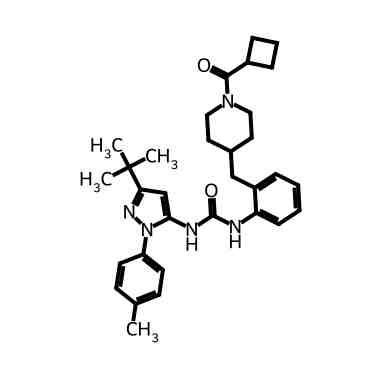 Cc1ccc(-n2nc(C(C)(C)C)cc2NC(=O)Nc2ccccc2CC2CCN(C(=O)C3CCC3)CC2)cc1